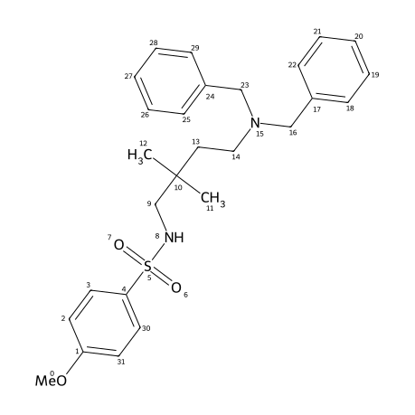 COc1ccc(S(=O)(=O)NCC(C)(C)CCN(Cc2ccccc2)Cc2ccccc2)cc1